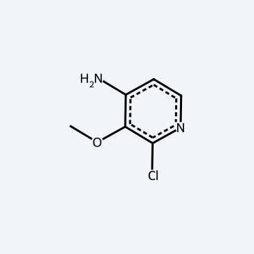 COc1c(N)ccnc1Cl